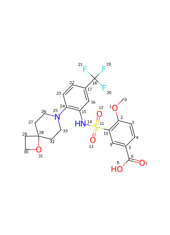 COc1ccc(C(=O)O)cc1S(=O)(=O)Nc1cc(C(F)(F)F)ccc1N1CCC2(CCO2)CC1